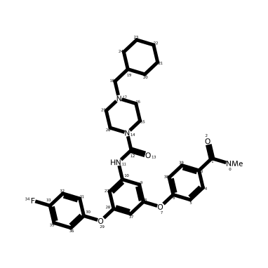 CNC(=O)c1ccc(Oc2cc(NC(=O)N3CCN(CC4CCCCC4)CC3)cc(Oc3ccc(F)cc3)c2)cc1